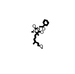 CO/C=C/C(C)=C\C=C\C1(C)C(=O)N(CC(=O)c2ccccc2)C(=O)N1C